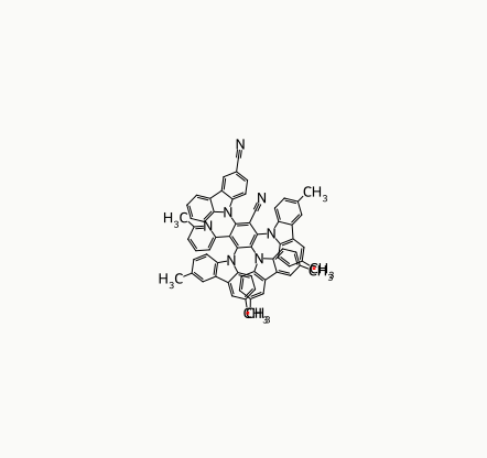 Cc1ccc2c(c1)c1cc(C)ccc1n2-c1c(C#N)c(-n2c3ccccc3c3cc(C#N)ccc32)c(-c2cccc(C)n2)c(-n2c3ccc(C)cc3c3cc(C)ccc32)c1-n1c2ccc(C)cc2c2cc(C)ccc21